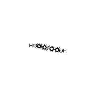 CC(C)(c1ccc(-c2ccc(O)cc2)cc1)c1ccc(-c2ccc(O)cc2)cc1